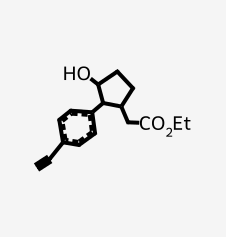 C#Cc1ccc(C2C(O)CCC2CC(=O)OCC)cc1